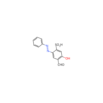 O=Cc1cc(N=Nc2ccccc2)c(S(=O)(=O)O)cc1O